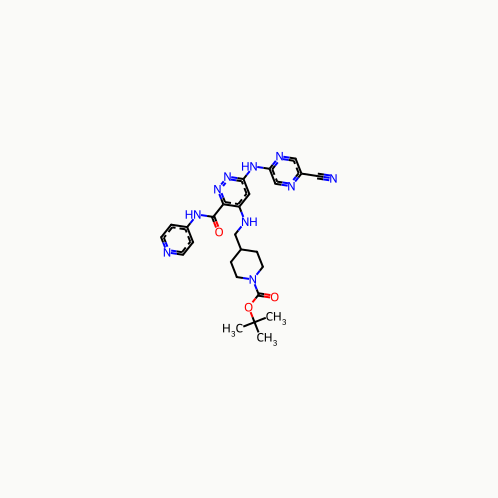 CC(C)(C)OC(=O)N1CCC(CNc2cc(Nc3cnc(C#N)cn3)nnc2C(=O)Nc2ccncc2)CC1